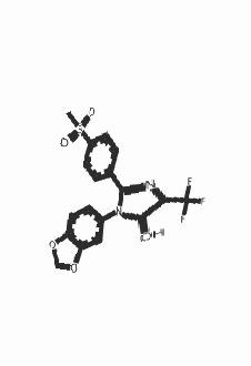 CS(=O)(=O)c1ccc(C2=NC(C(F)(F)F)C(O)N2c2ccc3c(c2)OCO3)cc1